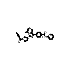 CC#CC(=O)N1CC[C@@H](c2nc(-c3ccc(C(=O)Nc4ccccn4)cc3)c3cncc(C)n23)C1